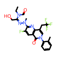 CCN(C=O)/C(CO)=N\N(C)c1nc2c(CC(F)(F)F)cn(-c3ccccc3C)c(=O)c2cc1F